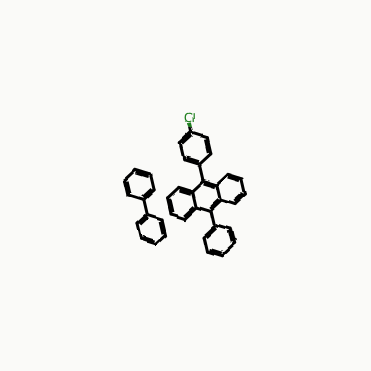 Clc1ccc(-c2c3ccccc3c(-c3ccccc3)c3ccccc23)cc1.c1ccc(-c2ccccc2)cc1